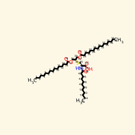 CCCCCCCCCCCCCCCC(=O)OCC(COC(=O)CCCCCCCCCCCCCCC)SC[C@H](NC(=O)CCCCCCCCCCC)C(=O)O